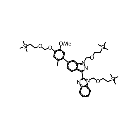 COc1cc(-c2ccc3c(-c4nc5ccccc5n4COCC[Si](C)(C)C)nn(COCC[Si](C)(C)C)c3c2)c(C)cc1OCOCC[Si](C)(C)C